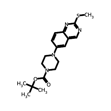 CSc1ncc2cc(N3CCN(C(=O)OC(C)(C)C)CC3)ccc2n1